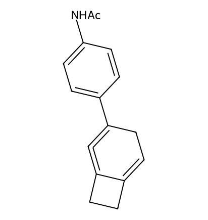 CC(=O)Nc1ccc(C2=C=C3CCC3=CC2)cc1